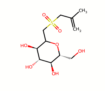 C=C(C)CS(=O)(=O)CC1O[C@H](CO)[C@@H](O)[C@H](O)[C@H]1O